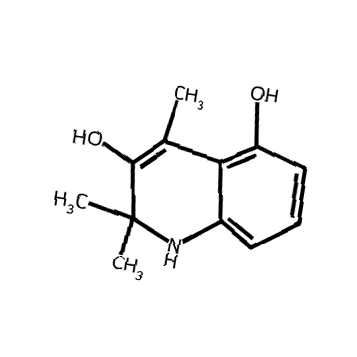 CC1=C(O)C(C)(C)Nc2cccc(O)c21